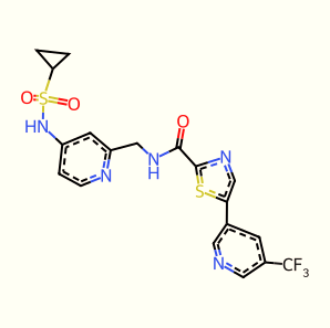 O=C(NCc1cc(NS(=O)(=O)C2CC2)ccn1)c1ncc(-c2cncc(C(F)(F)F)c2)s1